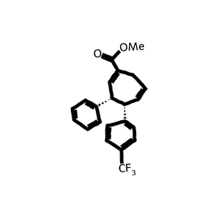 COC(=O)C1=C[C@@H](c2ccccc2)[C@@H](c2ccc(C(F)(F)F)cc2)C=CC1